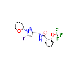 O=C(NCc1cc(I)n(C2CCCCO2)n1)c1ccccc1OC(F)(F)F